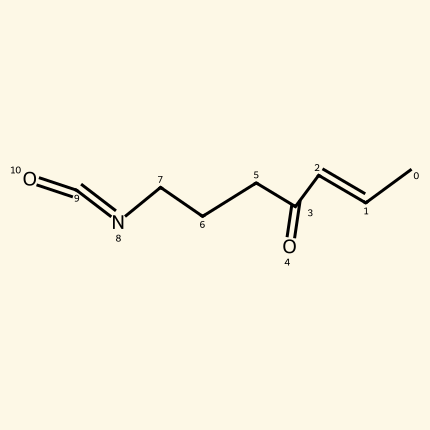 CC=CC(=O)CCCN=C=O